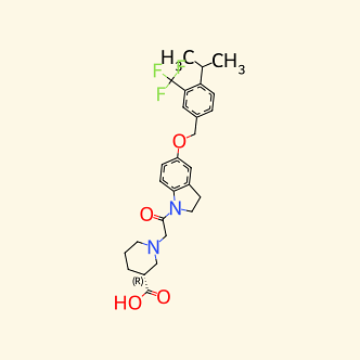 CC(C)c1ccc(COc2ccc3c(c2)CCN3C(=O)CN2CCC[C@@H](C(=O)O)C2)cc1C(F)(F)F